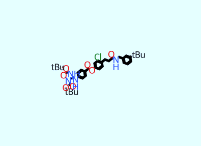 CC(C)(C)OC(=O)/N=C(/NC(=O)OC(C)(C)C)Nc1ccc(C(=O)Oc2ccc(CCC(=O)NCc3cccc(C(C)(C)C)c3)c(Cl)c2)cc1